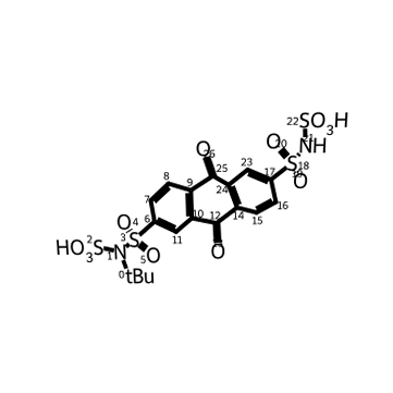 CC(C)(C)N(S(=O)(=O)O)S(=O)(=O)c1ccc2c(c1)C(=O)c1ccc(S(=O)(=O)NS(=O)(=O)O)cc1C2=O